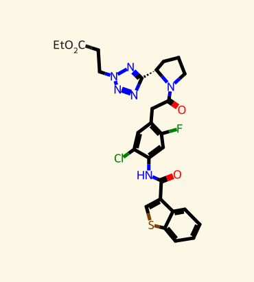 CCOC(=O)CCn1nnc([C@@H]2CCCN2C(=O)Cc2cc(Cl)c(NC(=O)c3csc4ccccc34)cc2F)n1